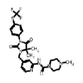 CN1CCN(C(=O)Nc2cc(CN3C(=O)N(c4ccc(SC(F)(F)F)cc4)C(=O)C3(C)C)ccn2)CC1